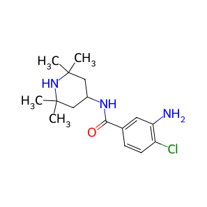 CC1(C)CC(NC(=O)c2ccc(Cl)c(N)c2)CC(C)(C)N1